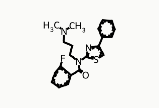 CN(C)CCCN(C(=O)c1ccccc1F)c1nc(-c2ccccc2)cs1